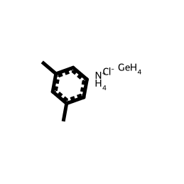 Cc1cccc(C)c1.[Cl-].[GeH4].[NH4+]